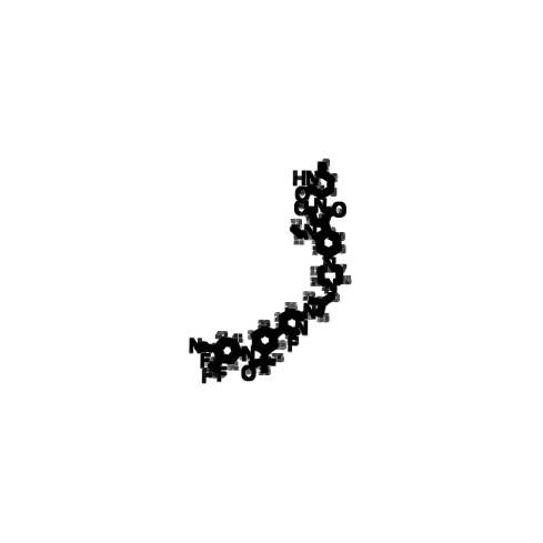 C=C1CCC(N2C(=O)c3c(n(CC)c4cc(N5CCN(CC6CN(c7ccc(-c8ccc9c(c8)C(C)(C)C(=O)N9c8ccc(C#N)c(C(F)(F)F)c8)c(F)n7)C6)CC5)ccc34)C2=O)C(=O)N1